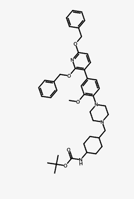 COc1cc(-c2ccc(OCc3ccccc3)nc2OCc2ccccc2)ccc1N1CCN(CC2CCC(NC(=O)OC(C)(C)C)CC2)CC1